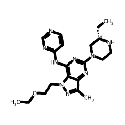 CCOCCn1nc(C)c2nc(N3CCN[C@@H](CC)C3)nc(Nc3ccncn3)c21